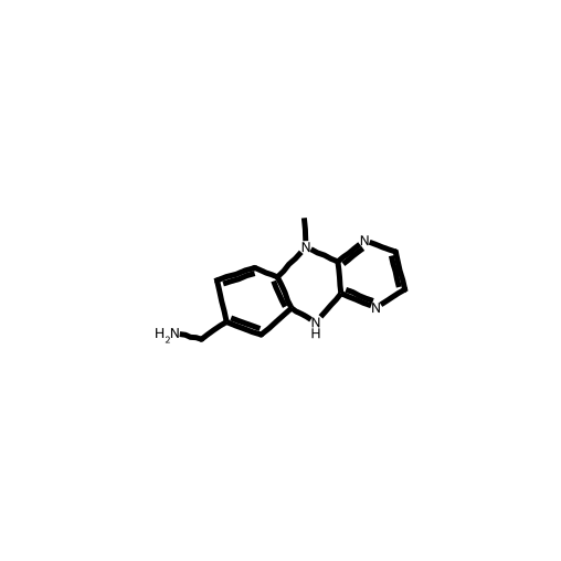 CN1c2ccc(CN)cc2Nc2nccnc21